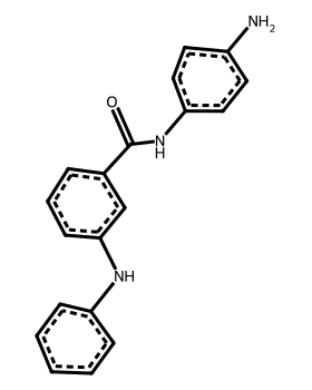 Nc1ccc(NC(=O)c2cccc(Nc3ccccc3)c2)cc1